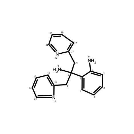 Nc1ccccc1C(N)(Cc1ccccn1)Cc1ccccn1